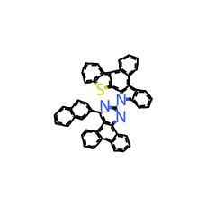 c1ccc2cc(-c3nc(-n4c5ccccc5c5c6ccccc6c6c7ccccc7sc6c54)nc4c5ccccc5c5ccccc5c34)ccc2c1